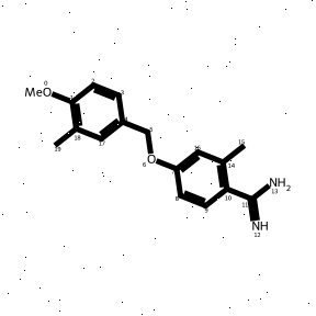 COc1ccc(COc2ccc(C(=N)N)c(C)c2)cc1C